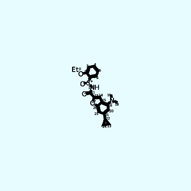 CCOc1ccccc1[S+]([O-])NC(=O)c1cc2c(N(C)C)cc(C3CC3)cc2o1